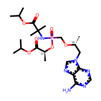 CC(C)OC(=O)[C@H](C)OP(=O)(CO[C@H](C)Cn1cnc2c(N)ncnc21)NC(C)(C)C(=O)OC(C)C